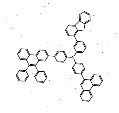 c1ccc(-c2c(-c3ccccc3)c3cc(-c4ccc(N(c5ccc(-c6cc7ccccc7c7ccccc67)cc5)c5cccc(-c6cccc7c6oc6ccccc67)c5)cc4)ccc3c3ccccc23)cc1